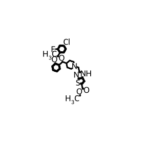 CCOC(=O)c1cc2[nH]c(CN3CCC(C4OC(C)(c5ccc(Cl)cc5F)Oc5ccccc54)CC3)nc2s1